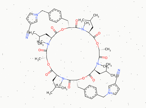 CC(C)C[C@H]1C(=O)O[C@H](Cc2ccc(Cn3ccc(C#N)c3)cc2)C(=O)N(C)[C@@H](CC(C)C)C(=O)O[C@H](C)C(=O)N(C)[C@@H](CC(C)C)C(=O)O[C@H](Cc2ccc(Cn3ccc(C#N)c3)cc2)C(=O)N(C)[C@@H](CC(C)C)C(=O)O[C@H](C)C(=O)N1C